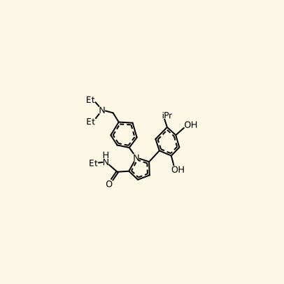 CCNC(=O)c1ccc(-c2cc(C(C)C)c(O)cc2O)n1-c1ccc(CN(CC)CC)cc1